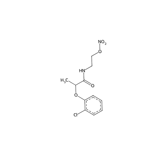 CC(Oc1ccccc1Cl)C(=O)NCCO[N+](=O)[O-]